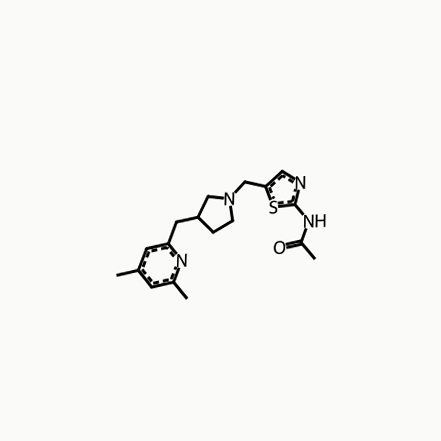 CC(=O)Nc1ncc(CN2CCC(Cc3cc(C)cc(C)n3)C2)s1